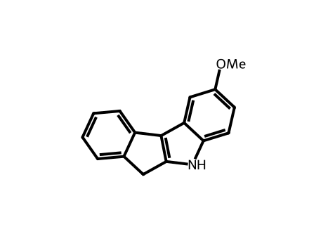 COc1ccc2[nH]c3c(c2c1)-c1ccccc1C3